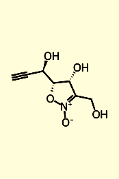 C#C[C@@H](O)[C@H]1O[N+]([O-])=C(CO)[C@H]1O